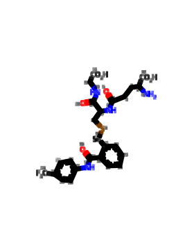 NC(CCC(=O)NC(CS[Se]c1ccccc1C(=O)Nc1ccc(C(F)(F)F)cc1)C(=O)NCC(=O)O)C(=O)O